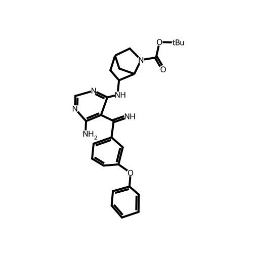 CC(C)(C)OC(=O)N1CC2CC(Nc3ncnc(N)c3C(=N)c3cccc(Oc4ccccc4)c3)C1C2